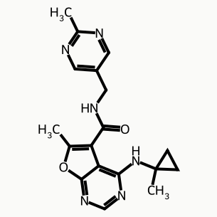 Cc1ncc(CNC(=O)c2c(C)oc3ncnc(NC4(C)CC4)c23)cn1